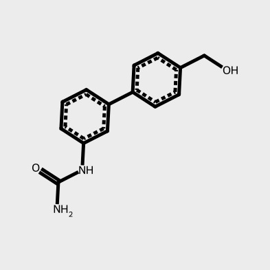 NC(=O)Nc1cccc(-c2ccc(CO)cc2)c1